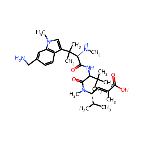 CN[C@H](C(=O)N[C@H](C(=O)N(C)[C@H](/C=C(\C)C(=O)O)C(C)C)C(C)(C)C)C(C)(C)c1cn(C)c2cc(CN)ccc12